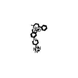 C[C@H]1CCC(c2ccccc2)S(=O)(=O)N1Cc1ccc(N2CCC(n3ncnn3)CC2)cc1F